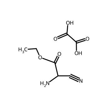 CCOC(=O)C(N)C#N.O=C(O)C(=O)O